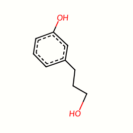 OCCCc1cccc(O)c1